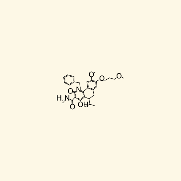 COCCCOc1cc2c(cc1OC)-c1c(c(O)c(C(N)=O)c(=O)n1Cc1ccccc1)C(C(C)C)C2